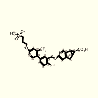 CS(=O)(=O)CCCOc1cc(C(F)(F)F)c(-c2ccc(F)c(COc3cc4c(cn3)C3C(C4)[C@@H]3C(=O)O)c2)cn1